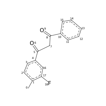 Cc1ccc(C(=O)CC(=O)c2ccccc2)cc1F